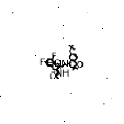 CC(=O)N[C@@H](Cc1cc(F)cc(F)c1)[C@@H](O)CN[C@H]1CC(C)(C)C(=O)c2ccc(CC(C)(C)C)cc21